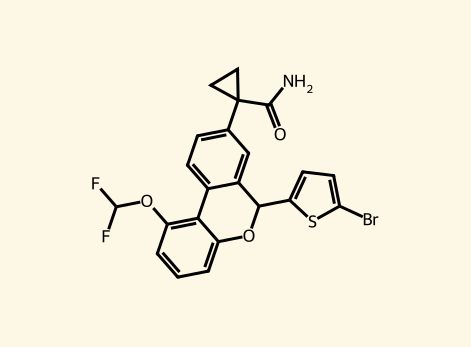 NC(=O)C1(c2ccc3c(c2)C(c2ccc(Br)s2)Oc2cccc(OC(F)F)c2-3)CC1